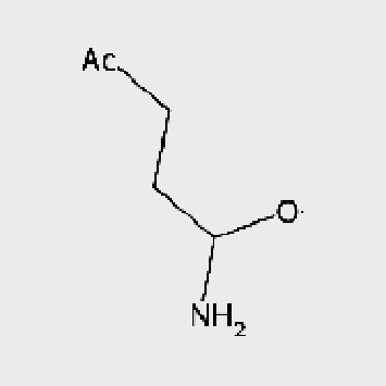 CC(=O)CCC(N)[O]